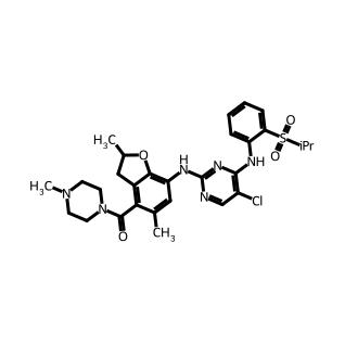 Cc1cc(Nc2ncc(Cl)c(Nc3ccccc3S(=O)(=O)C(C)C)n2)c2c(c1C(=O)N1CCN(C)CC1)CC(C)O2